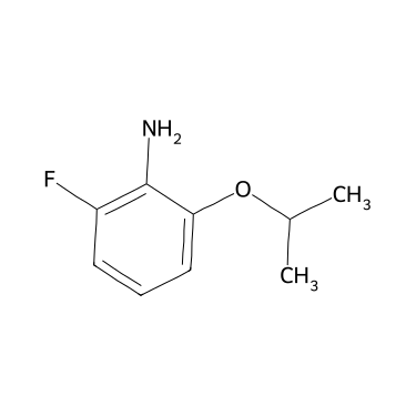 CC(C)Oc1cccc(F)c1N